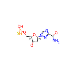 NC(=O)c1ncn([C@H]2CC(=O)[C@@H](CO[PH](O)=S)O2)n1